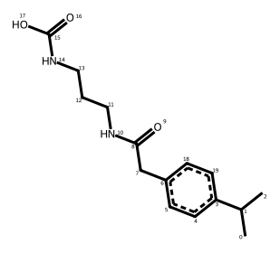 CC(C)c1ccc(CC(=O)NCCCNC(=O)O)cc1